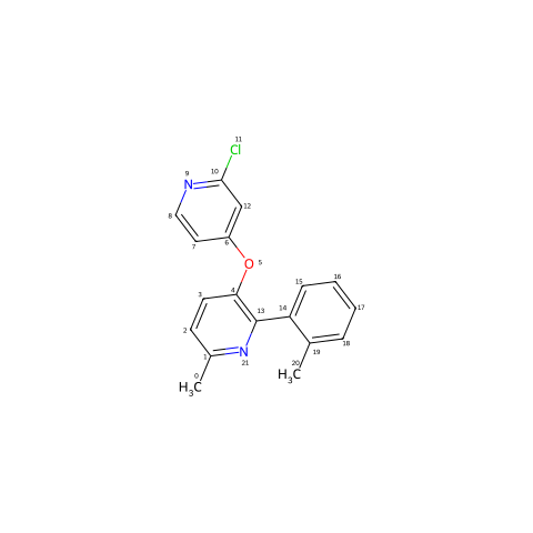 Cc1ccc(Oc2ccnc(Cl)c2)c(-c2ccccc2C)n1